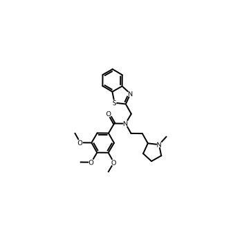 COc1cc(C(=O)N(CCC2CCCN2C)Cc2nc3ccccc3s2)cc(OC)c1OC